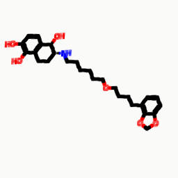 Oc1ccc2c(c1O)CC[C@@H](NCCCCCCOCCCCc1cccc3c1OCO3)[C@@H]2O